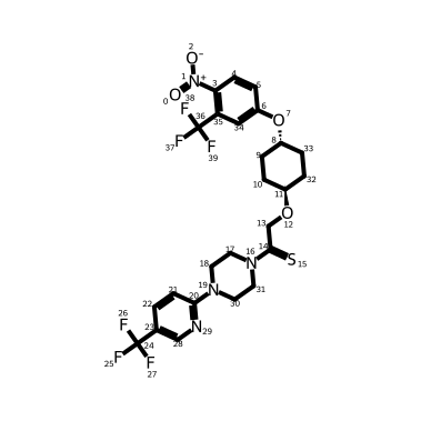 O=[N+]([O-])c1ccc(O[C@H]2CC[C@H](OCC(=S)N3CCN(c4ccc(C(F)(F)F)cn4)CC3)CC2)cc1C(F)(F)F